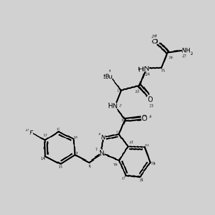 CC(C)(C)C(NC(=O)c1nn(Cc2ccc(F)cc2)c2ccccc12)C(=O)NCC(N)=O